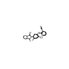 N#Cc1cccnc1Oc1cc(N2C(=O)C3CCCCN3C2=S)c(F)cc1Cl